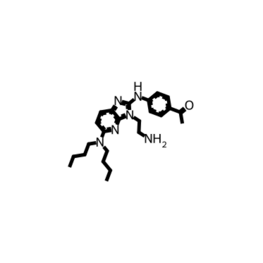 CCCCN(CCCC)c1ccc2nc(Nc3ccc(C(C)=O)cc3)n(CCN)c2n1